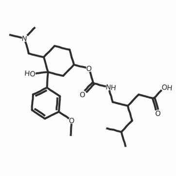 COc1cccc(C2(O)CC(OC(=O)NCC(CC(=O)O)CC(C)C)CCC2CN(C)C)c1